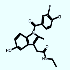 CCNC(=O)Cc1c(C)n(C(=O)c2ccc(Cl)c(F)c2)c2ccc(O)cc12